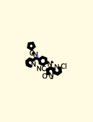 CN(c1c(C#N)c(=O)n(C)c2ccc(Cl)nc12)C1CCC(/C(=N/OC2CCCC2)c2ccccn2)CC1